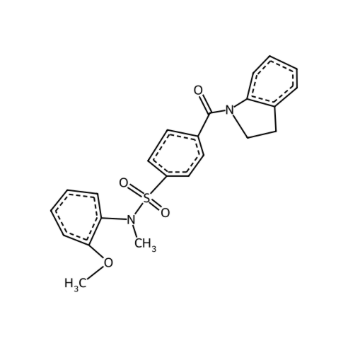 COc1ccccc1N(C)S(=O)(=O)c1ccc(C(=O)N2CCc3ccccc32)cc1